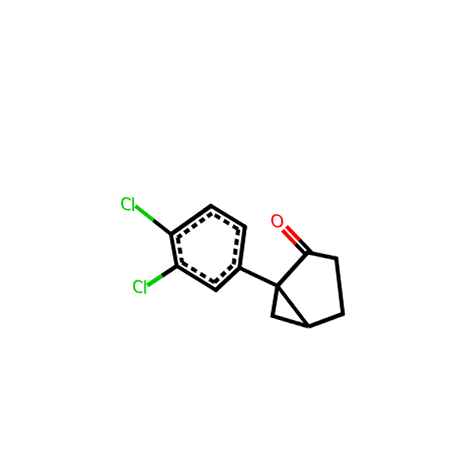 O=C1CCC2CC12c1ccc(Cl)c(Cl)c1